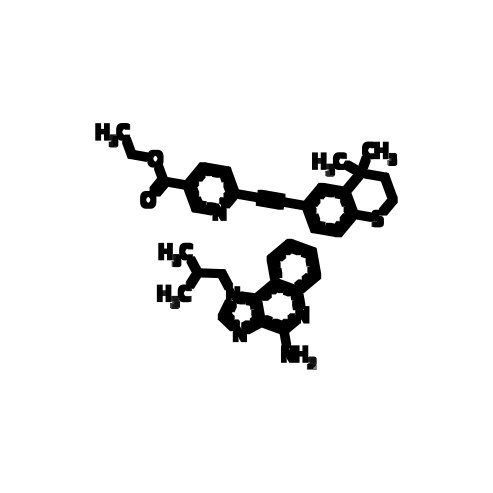 CC(C)Cn1cnc2c(N)nc3ccccc3c21.CCOC(=O)c1ccc(C#Cc2ccc3c(c2)C(C)(C)CCS3)nc1